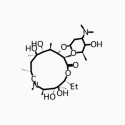 CC[C@H]1OC(=O)[C@H](C)[C@@H](O[C@H]2CC(N(C)C)C(O)[C@@H](C)O2)[C@H](C)[C@@H](O)[C@](C)(O)C[C@@H](C)CN(C)[C@H](C)[C@@H](O)[C@]1(C)O